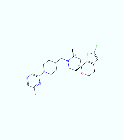 Cc1cncc(N2CCC(CN3CC[C@]4(C[C@@H]3C)OCCc3cc(Cl)sc34)CC2)n1